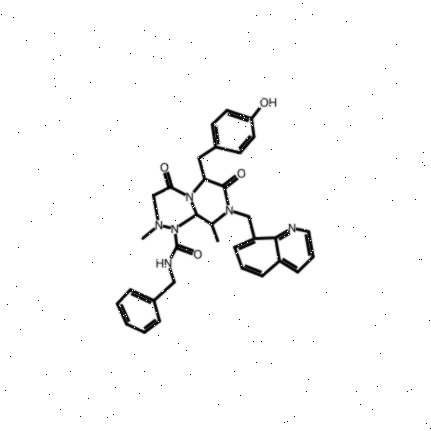 CC1C2N(C(=O)CN(C)N2C(=O)NCc2ccccc2)C(Cc2ccc(O)cc2)C(=O)N1Cc1cccc2cccnc12